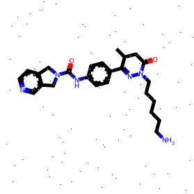 CC1CC(=O)N(CCCCCCN)N=C1c1ccc(NC(=O)N2Cc3ccncc3C2)cc1